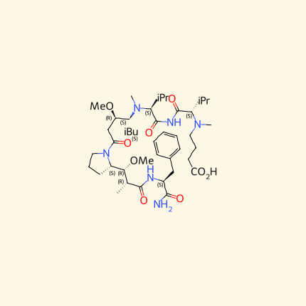 CC[C@H](C)[C@@H]([C@@H](CC(=O)N1CCC[C@H]1[C@H](OC)[C@@H](C)C(=O)N[C@@H](Cc1ccccc1)C(N)=O)OC)N(C)[C@H](C(=O)NC(=O)[C@H](C(C)C)N(C)CCCC(=O)O)C(C)C